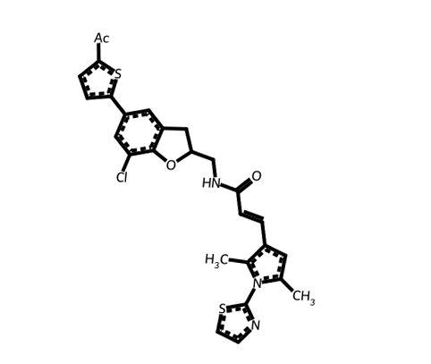 CC(=O)c1ccc(-c2cc(Cl)c3c(c2)CC(CNC(=O)/C=C/c2cc(C)n(-c4nccs4)c2C)O3)s1